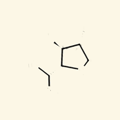 NC(O)[C@H]1O[CH][C@@H](F)[C@@H]1O